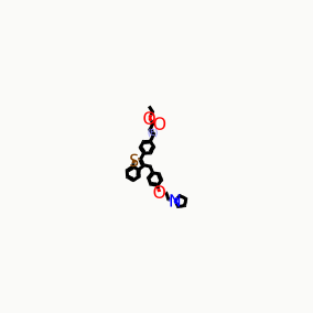 CCOC(=O)/C=C/c1ccc(-c2sc3ccccc3c2Cc2ccc(OCCN3CCCC3)cc2)cc1